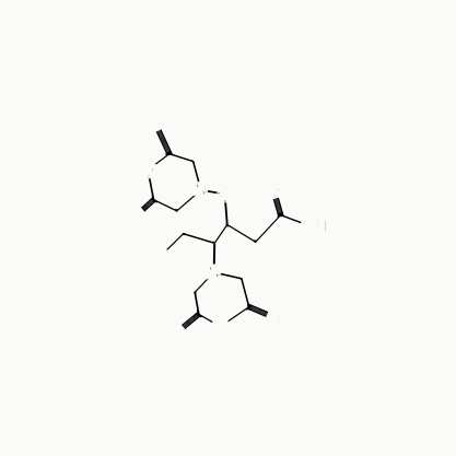 CCC(C(CC(=O)O)ON1CC(=O)OC(=O)C1)N1CC(=O)OC(=O)C1